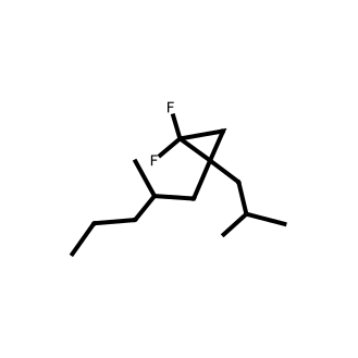 CCCC(C)CC1(CC(C)C)CC1(F)F